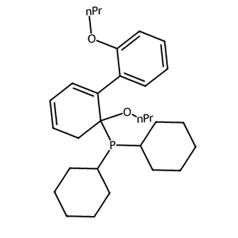 CCCOc1ccccc1C1=CC=CCC1(OCCC)P(C1CCCCC1)C1CCCCC1